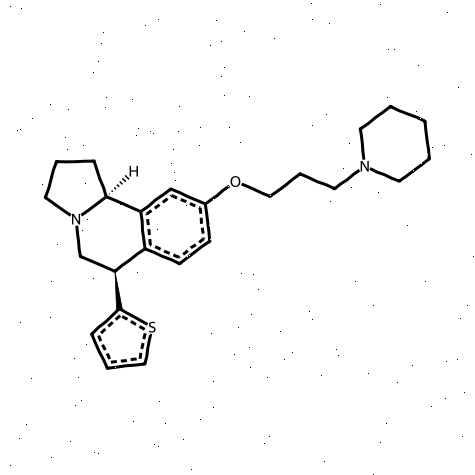 c1csc([C@H]2CN3CCC[C@H]3c3cc(OCCCN4CCCCC4)ccc32)c1